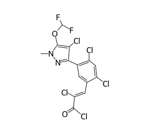 Cn1nc(-c2cc(C=C(Cl)C(=O)Cl)c(Cl)cc2Cl)c(Cl)c1OC(F)F